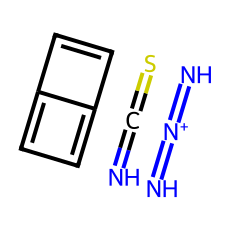 N=C=S.N=[N+]=N.c1cc2ccc1-2